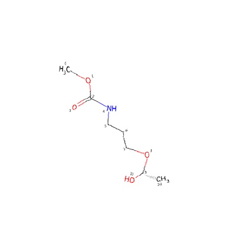 COC(=O)NCCCO[C@H](C)O